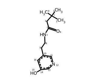 CC(C)(C)CC(=O)NCCc1cncc(O)c1